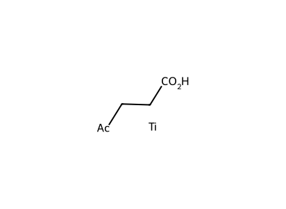 CC(=O)CCC(=O)O.[Ti]